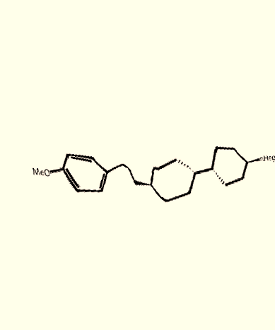 CCCCCCC[C@H]1CC[C@H]([C@H]2CC[C@H](CCc3ccc(OC)cc3)CC2)CC1